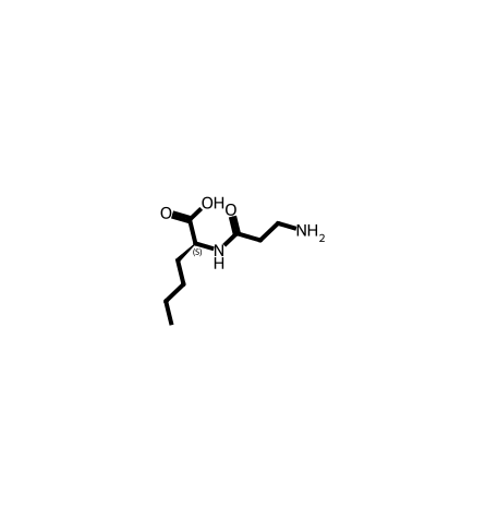 CCCC[C@H](NC(=O)CCN)C(=O)O